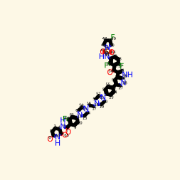 O=C1CCC(NC(=O)c2ccc(N3CCN(CCN4CCN(c5ccc(-c6cnc7[nH]cc(C(=O)c8c(F)ccc(NS(=O)(=O)N9CC[C@@H](F)C9)c8F)c7c6)cc5)CC4)CC3)cc2F)C(=O)N1